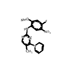 COc1cc(F)c([N+](=O)[O-])cc1Nc1ncc(C)c(N2C=CC=CC2)n1